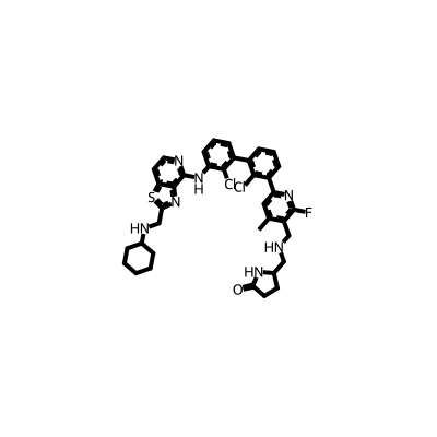 Cc1cc(-c2cccc(-c3cccc(Nc4nccc5sc(CNC6CCCCC6)nc45)c3Cl)c2Cl)nc(F)c1CNCC1CCC(=O)N1